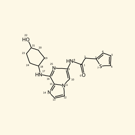 O=C(Cc1cccs1)Nc1cn2ccnc2c(NC2CCC(O)CC2)n1